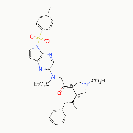 CCOC(=O)N(CC(=O)[C@H]1CN(C(=O)O)C[C@H]1C(C)Cc1ccccc1)c1cnc2c(ccn2S(=O)(=O)c2ccc(C)cc2)n1